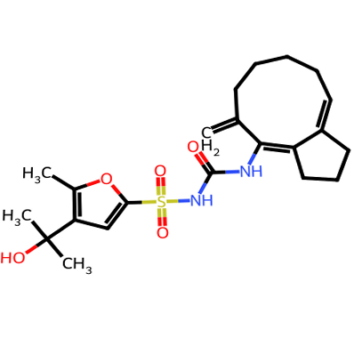 C=C1CCCC/C=C2/CCC/C2=C/1NC(=O)NS(=O)(=O)c1cc(C(C)(C)O)c(C)o1